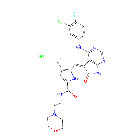 Cc1cc(C(=O)NCCN2CCOCC2)[nH]c1/C=C1\C(=O)Nc2ncnc(Nc3ccc(F)c(Cl)c3)c21.Cl